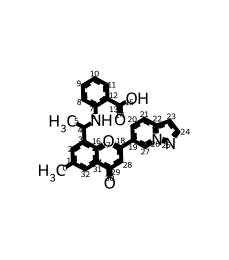 Cc1cc(C(C)Nc2ccccc2C(=O)O)c2oc(-c3ccc4ccnn4c3)cc(=O)c2c1